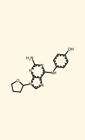 Nc1nc(Nc2ccc(O)cc2)c2ncn(C3CCCO3)c2n1